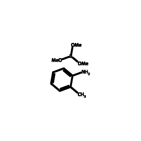 COB(OC)OC.Cc1ccccc1N